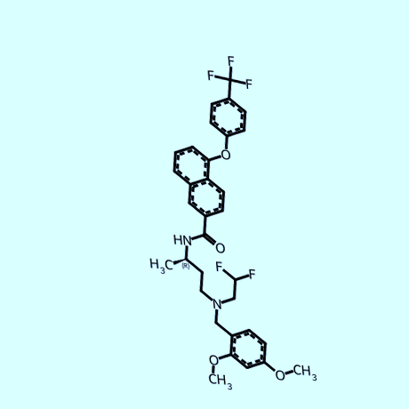 COc1ccc(CN(CC[C@@H](C)NC(=O)c2ccc3c(Oc4ccc(C(F)(F)F)cc4)cccc3c2)CC(F)F)c(OC)c1